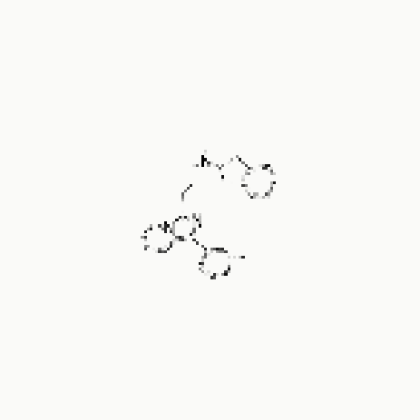 Cc1cccc(-c2nc(CCCN(C)C3Cc4ccccc4C3)n3ccccc23)c1